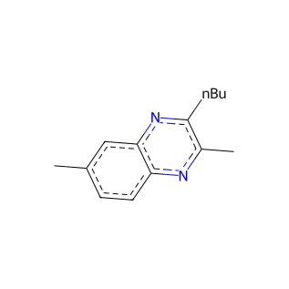 CCCCc1nc2cc(C)ccc2nc1C